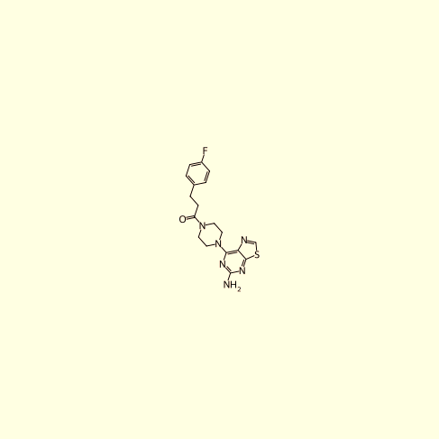 Nc1nc(N2CCN(C(=O)CCc3ccc(F)cc3)CC2)c2ncsc2n1